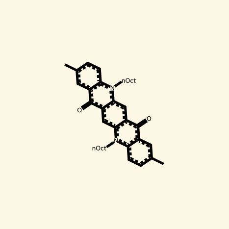 CCCCCCCCn1c2ccc(C)cc2c(=O)c2cc3c(cc21)c(=O)c1cc(C)ccc1n3CCCCCCCC